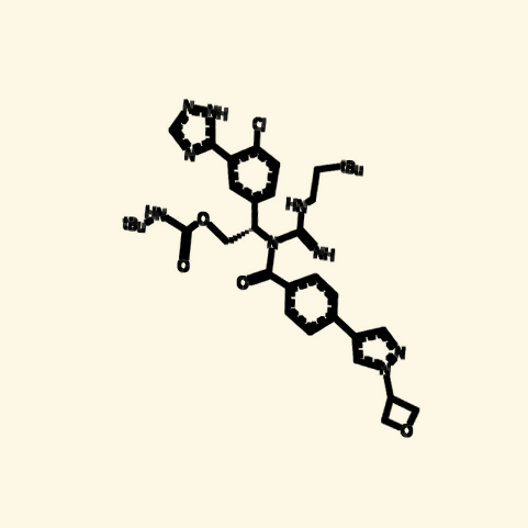 CC(C)(C)CCNC(=N)N(C(=O)c1ccc(-c2cnn(C3COC3)c2)cc1)[C@H](COC(=O)NC(C)(C)C)c1ccc(Cl)c(-c2ncn[nH]2)c1